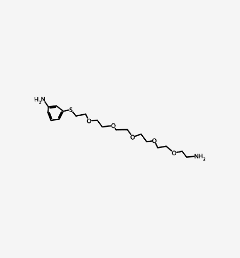 NCCOCCOCCOCCOCCOCCSc1cccc(N)c1